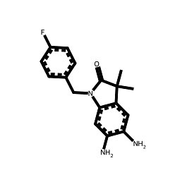 CC1(C)C(=O)N(Cc2ccc(F)cc2)c2cc(N)c(N)cc21